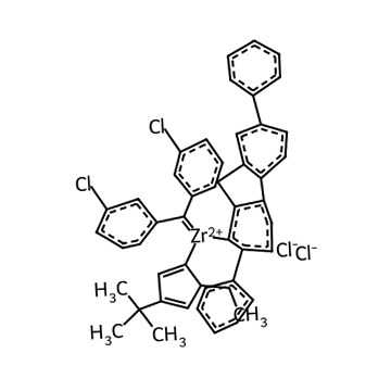 CCC1C=C(C(C)(C)C)C=[C]1[Zr+2](=[C](c1cccc(Cl)c1)c1cccc(Cl)c1)[c]1c(-c2ccccc2)ccc2c1Cc1cc(-c3ccccc3)ccc1-2.[Cl-].[Cl-]